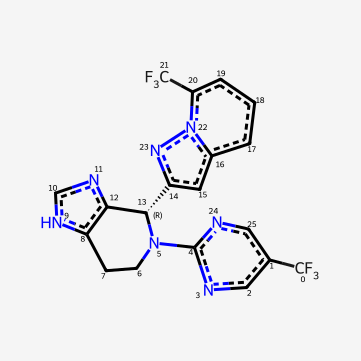 FC(F)(F)c1cnc(N2CCc3[nH]cnc3[C@@H]2c2cc3cccc(C(F)(F)F)n3n2)nc1